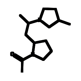 CC(=O)N1CCCC1CC(C)N1CCC(C)C1